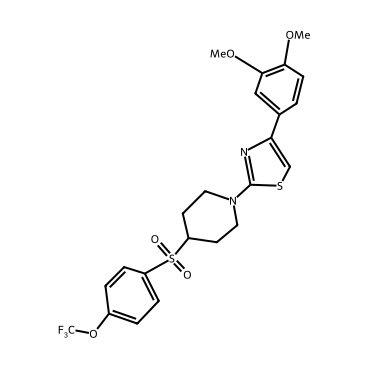 COc1ccc(-c2csc(N3CCC(S(=O)(=O)c4ccc(OC(F)(F)F)cc4)CC3)n2)cc1OC